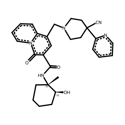 C[C@]1(NC(=O)c2cc(CN3CCC(C#N)(c4ccccn4)CC3)c3ccccn3c2=O)CCCC[C@@H]1O